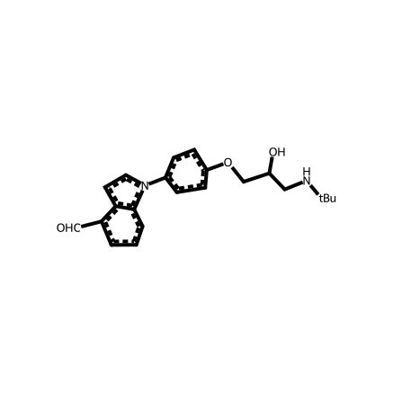 CC(C)(C)NCC(O)COc1ccc(-n2ccc3c(C=O)cccc32)cc1